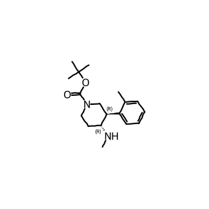 CN[C@@H]1CCN(C(=O)OC(C)(C)C)C[C@H]1c1ccccc1C